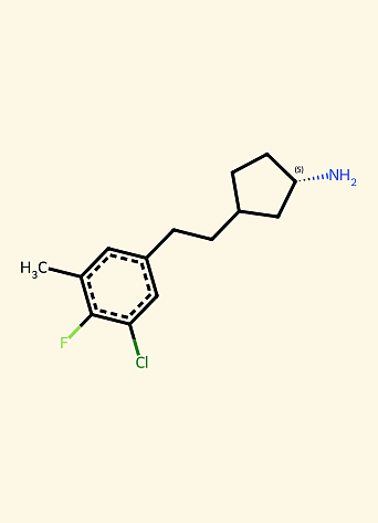 Cc1cc(CCC2CC[C@H](N)C2)cc(Cl)c1F